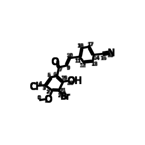 COc1c(Cl)cc(C(=O)C=Cc2ccc(C#N)cc2)c(O)c1Br